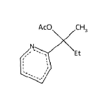 CCC(C)(OC(C)=O)c1ccccn1